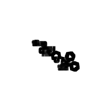 CC(C)(C)OC(=O)NN[C@@H]1CC[C@@H](CO[Si](c2ccccc2)(c2ccccc2)C(C)(C)C)OC1